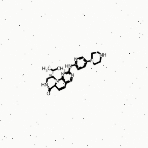 CC(C)[C@H]1CNC(=O)C2C=Cc3cnc(Nc4ccc(N5CCNCC5)cn4)nc3N21